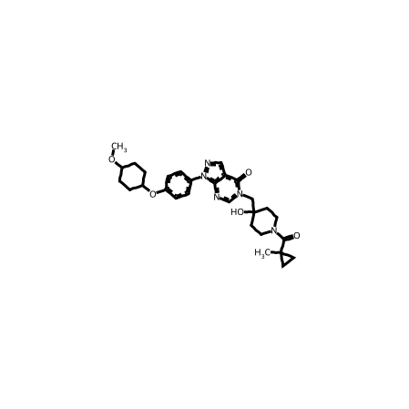 COC1CCC(Oc2ccc(-n3ncc4c(=O)n(CC5(O)CCN(C(=O)C6(C)CC6)CC5)cnc43)cc2)CC1